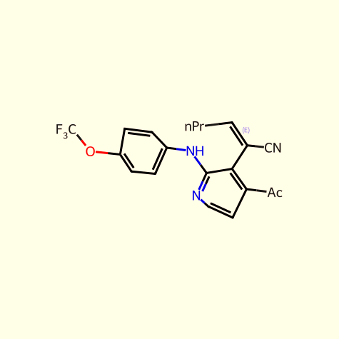 CCC/C=C(/C#N)c1c(C(C)=O)ccnc1Nc1ccc(OC(F)(F)F)cc1